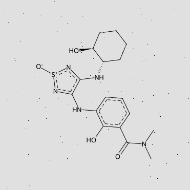 CN(C)C(=O)c1cccc(Nc2n[s+]([O-])nc2N[C@H]2CCCC[C@@H]2O)c1O